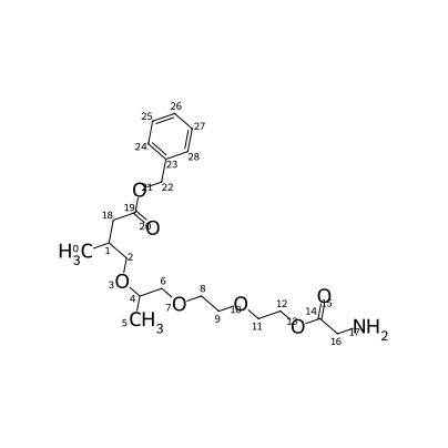 CC(COC(C)COCCOCCOC(=O)CN)CC(=O)OCc1ccccc1